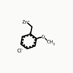 COc1ccccc1[CH2][Zn+].[Cl-]